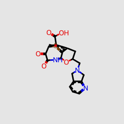 O=C1NC2OC(CN3Cc4cccnc4C3)Cc3c2sc(c3C(=O)O)C1=O